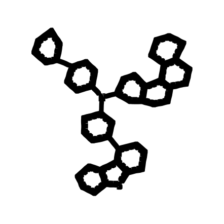 c1ccc(-c2ccc(N(c3cccc(-c4cccc5sc6ccccc6c45)c3)c3ccc4c(ccc5ccc6ccccc6c54)c3)cc2)cc1